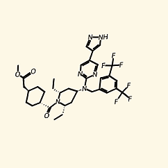 CC[C@@H]1C[C@H](N(Cc2cc(C(F)(F)F)cc(C(F)(F)F)c2)c2ncc(-c3cn[nH]c3)cn2)C[C@H](CC)N1C(=O)[C@H]1CC[C@H](CC(=O)OC)CC1